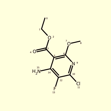 CCOC(=O)c1c(OC)nc(Cl)c(F)c1N